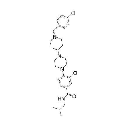 CC(C)CNC(=O)c1cnc(N2CCN(C3CCN(Cc4ccc(Cl)cc4)CC3)CC2)c(Cl)c1